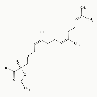 CCOP(=O)(COCC=C(C)CCC=C(C)CCC=C(C)C)C(=O)O